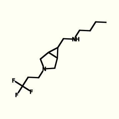 CCCCNCC1C2CN(CCC(F)(F)F)CC12